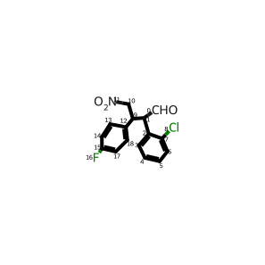 O=CC(c1ccccc1Cl)C(C[N+](=O)[O-])c1ccc(F)cc1